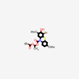 COc1ccc2c(c1)Sc1c(cc(OC)c(O)c1Br)N2C(=O)OC(C)OC(=O)C(C)(C)C